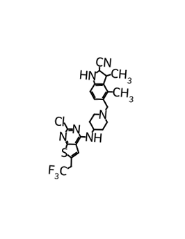 Cc1c(CN2CCC(Nc3nc(Cl)nc4sc(CC(F)(F)F)cc34)CC2)ccc2c1C(C)C(C#N)N2